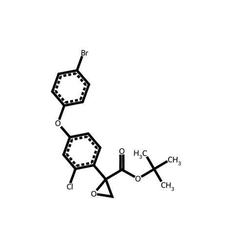 CC(C)(C)OC(=O)C1(c2ccc(Oc3ccc(Br)cc3)cc2Cl)CO1